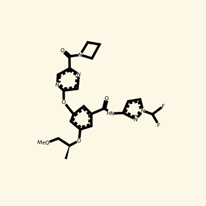 COC[C@H](C)Oc1cc(Oc2cnc(C(=O)N3CCC3)cn2)cc(C(=O)Nc2ccn(C(F)F)n2)c1